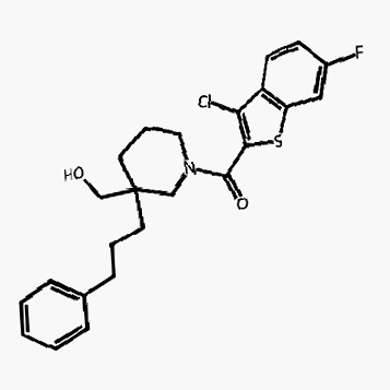 O=C(c1sc2cc(F)ccc2c1Cl)N1CCCC(CO)(CCCc2ccccc2)C1